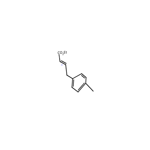 CCOC(=O)/C=C/Cc1ccc(C)cc1